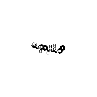 O=C(NC[C@H](O)CN1CCc2ccccc2C1)c1ccc2c(c1)C(=O)N(Cc1ccon1)CC2